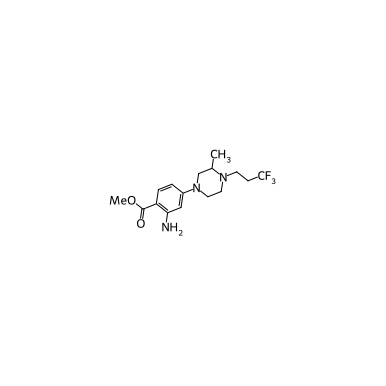 COC(=O)c1ccc(N2CCN(CCC(F)(F)F)C(C)C2)cc1N